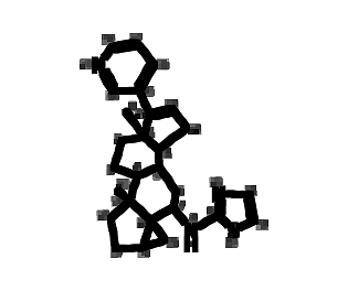 C[C@]12CCC3C(CC(Nc4nccs4)C45CC4CC[C@]35C)C1CC=C2c1cccnc1